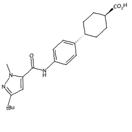 Cn1nc(C(C)(C)C)cc1C(=O)Nc1ccc([C@H]2CC[C@H](C(=O)O)CC2)cc1